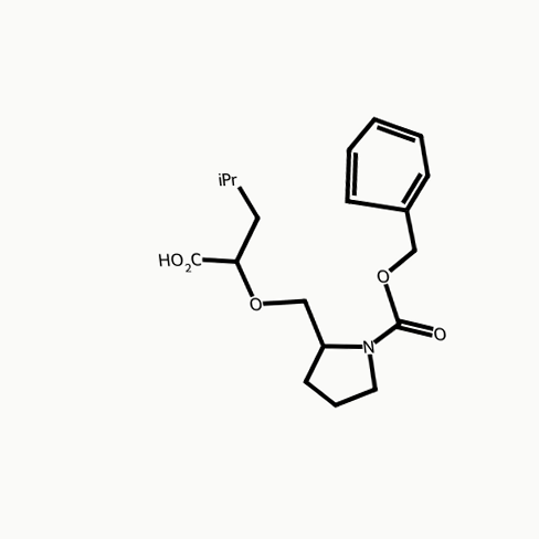 CC(C)CC(OCC1CCCN1C(=O)OCc1ccccc1)C(=O)O